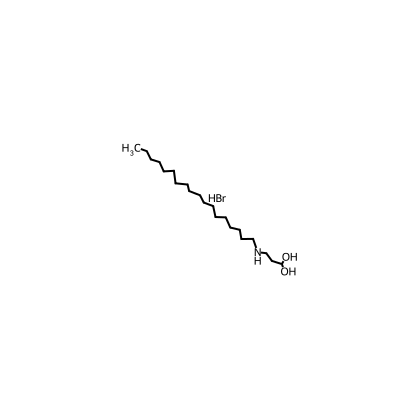 Br.CCCCCCCCCCCCCCCCCCNCCC(O)O